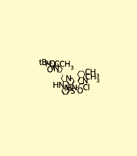 CC(C)(C)OC(=O)N1C[C@@H](CCC(Nc2cccc(SNC(=O)c3cc4c(nc3Cl)C(C)(C)CCC4)n2)c2ccccn2)CC1(C)C